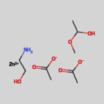 CC(=O)[O-].CC(=O)[O-].COC(C)O.NCCO.[Zn+2]